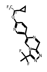 CC(F)(F)c1nnc2cnc(-c3ccc(O[C@@H](C4CC4)C(F)(F)F)nc3)cn12